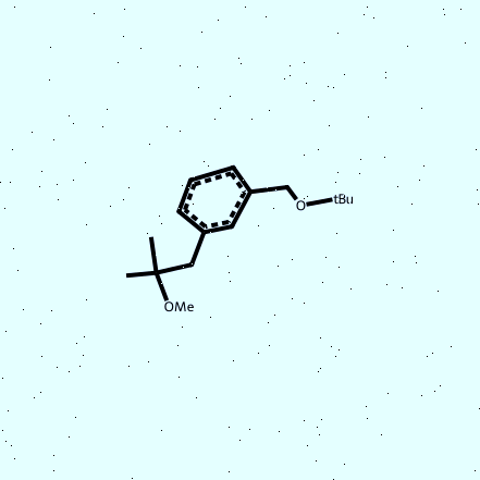 COC(C)(C)Cc1cccc(COC(C)(C)C)c1